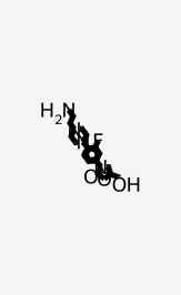 NCCN1CCN(c2ccc(N3CC(CO)OC3=O)cc2F)CC1